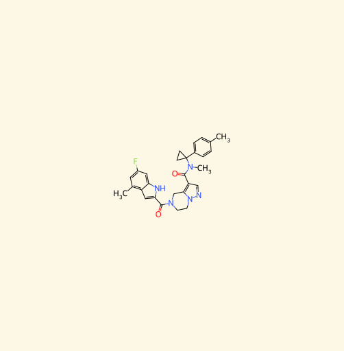 Cc1ccc(C2(N(C)C(=O)c3cnn4c3CN(C(=O)c3cc5c(C)cc(F)cc5[nH]3)CC4)CC2)cc1